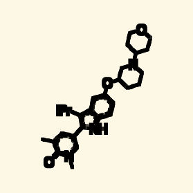 Cc1cc(-c2[nH]c3ccc(OC4CCCN(C5CCOCC5)C4)cc3c2C(C)C)cn(C)c1=O